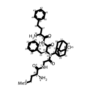 CSCC[C@@H](N)C(=O)NCC(=O)N(C1C2CC3CC(C2)CC1C3)[C@@H](Cc1ccccc1)C(=O)NC(=O)C(N)CCc1ccccc1.Cl